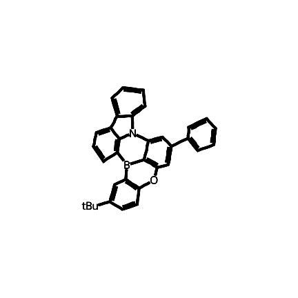 CC(C)(C)c1ccc2c(c1)B1c3c(cc(-c4ccccc4)cc3-n3c4ccccc4c4cccc1c43)O2